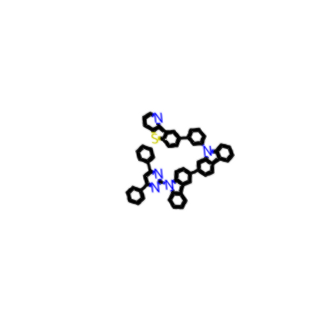 c1ccc(-c2cc(-c3ccccc3)nc(-n3c4ccccc4c4cc(-c5ccc6c7ccccc7n(-c7cccc(-c8ccc9sc%10cccnc%10c9c8)c7)c6c5)ccc43)n2)cc1